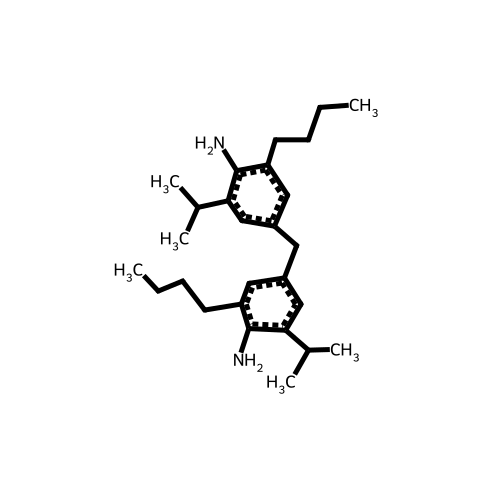 CCCCc1cc(Cc2cc(CCCC)c(N)c(C(C)C)c2)cc(C(C)C)c1N